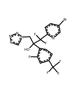 OC(Cn1cnnn1)(c1ccc(C(F)(F)F)cc1F)C(F)(F)c1ccc(Br)cn1